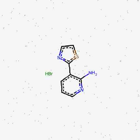 Br.Nc1ncccc1-c1nccs1